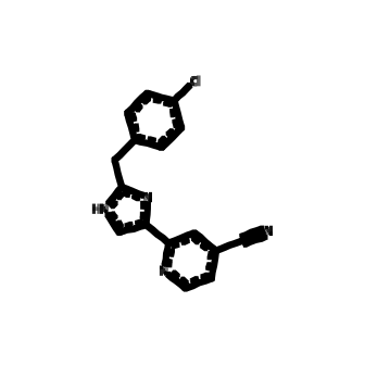 N#Cc1ccnc(-c2c[nH]c(Cc3ccc(Cl)cc3)n2)c1